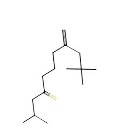 C=C(CCCC(=S)CC(C)C)CC(C)(C)C